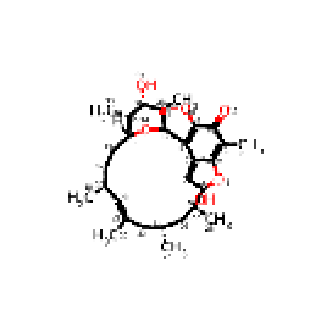 CC1=C2O[C@]3(O)C=C2C(=C(O)C1=O)[C@@H]1O[C@H](CC[C@H](C)/C=C(\C)C[C@@H](C)C[C@@H]3C)[C@H](C)[C@H](O)[C@H]1C